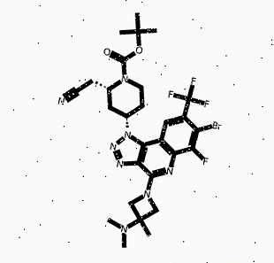 CN(C)C1(C)CN(c2nc3c(F)c(Br)c(C(F)(F)F)cc3c3c2nnn3[C@H]2CCN(C(=O)OC(C)(C)C)[C@@H](CC#N)C2)C1